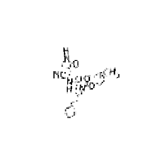 CN1CCC(OC(=O)N2C[C@H](CCc3ccccc3)C[C@H]2C(=O)N[C@H](C#N)C[C@@H]2CCNC2=O)CC1